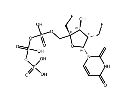 C=C1NC(=O)C=CN1[C@@H]1O[C@](CF)(COP(=O)(O)OP(=O)(O)OP(=O)(O)O)[C@@H](O)[C@@H]1CF